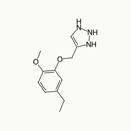 CCc1ccc(OC)c(OCC2=CNNN2)c1